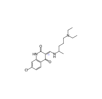 CCN(CC)CCCC(C)N/C=C1/C(=O)Nc2cc(Cl)ccc2C1=O